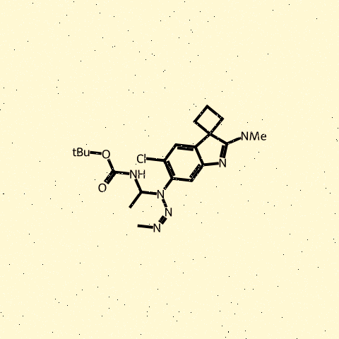 C/N=N\N(c1cc2c(cc1Cl)C1(CCC1)C(NC)=N2)C(C)NC(=O)OC(C)(C)C